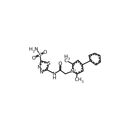 Cc1cc(-c2ccccc2)cc(C)[n+]1CC(=O)Nc1nnc(S(N)(=O)=O)s1